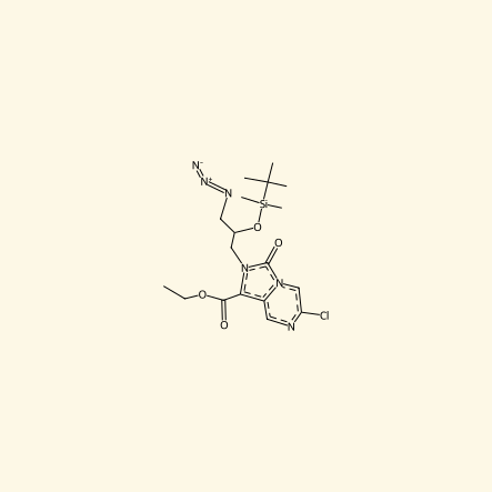 CCOC(=O)c1c2cnc(Cl)cn2c(=O)n1CC(CN=[N+]=[N-])O[Si](C)(C)C(C)(C)C